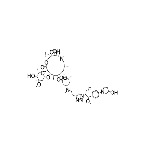 CC[C@H]1OC(=O)[C@H](C)[C@@H](O[C@H]2C[C@@](C)(OC)[C@@H](O)[C@H](C)O2)[C@H](C)[C@@H](O[C@H]2C[C@@H](N(C)CCc3cn([C@H](CF)[C@H](OC)c4ccc(N5CC[C@@H](O)C5)cc4)nn3)C[C@@H](C)O2)[C@](C)(O)C[C@@H](C)CN(C)[C@H](C)[C@@H](O)[C@]1(C)O